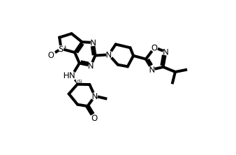 CC(C)c1noc(C2CCN(c3nc4c(c(N[C@H]5CCC(=O)N(C)C5)n3)[S+]([O-])CC4)CC2)n1